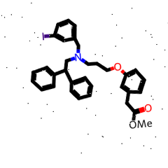 COC(=O)Cc1cccc(OCCCN(Cc2cccc(I)c2)CC(c2ccccc2)c2ccccc2)c1